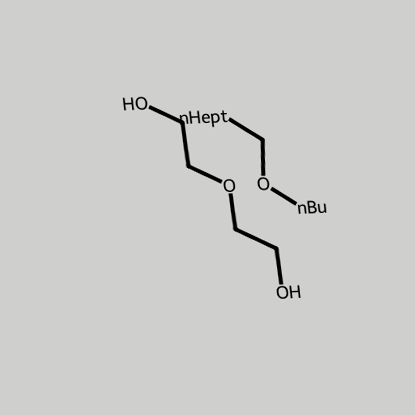 CCCCCCCCOCCCC.OCCOCCO